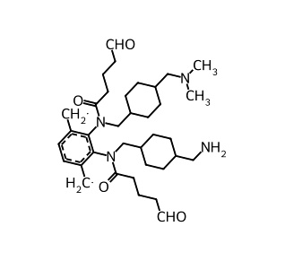 [CH2]c1ccc([CH2])c(N(CC2CCC(CN(C)C)CC2)C(=O)CCCC=O)c1N(CC1CCC(CN)CC1)C(=O)CCCC=O